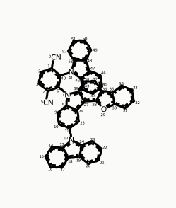 N#Cc1ccc(C#N)c(-n2c3ccc(-n4c5ccccc5c5ccccc54)cc3c3c4oc5ccccc5c4ccc32)c1-n1c2ccccc2c2ccccc21